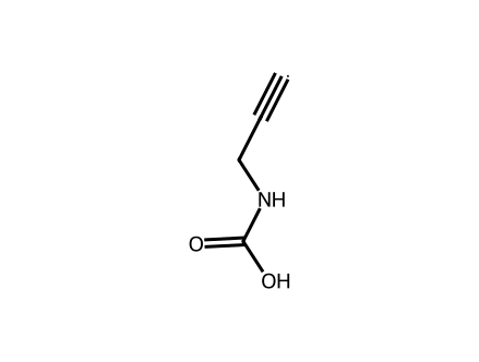 [C]#CCNC(=O)O